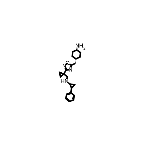 N[C@H]1CC[C@H](Cc2nc(C3(CNC4CC4c4ccccc4)CC3)no2)CC1